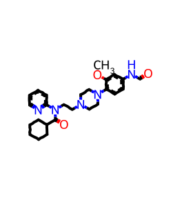 COc1cc(NC=O)ccc1N1CCN(CCN(C(=O)C2CCCCC2)c2ccccn2)CC1